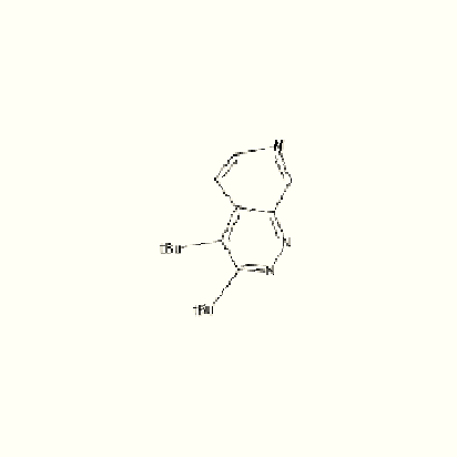 CC(C)(C)c1nnc2cnccc2c1C(C)(C)C